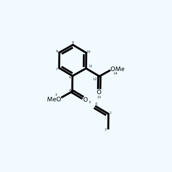 C=CC.COC(=O)c1ccccc1C(=O)OC